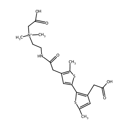 Cc1cc(CC(=O)O)c(-c2cc(CC(=O)NCC[N+](C)(C)CC(=O)O)c(C)s2)s1